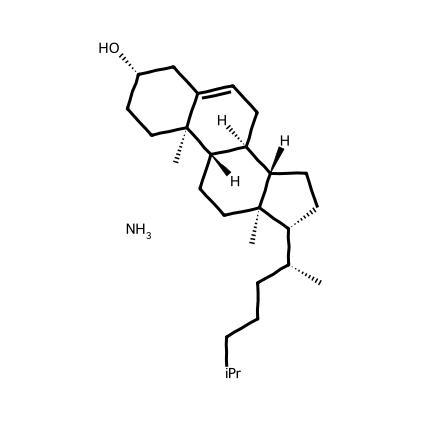 CC(C)CCC[C@@H](C)[C@H]1CC[C@H]2[C@@H]3CC=C4C[C@@H](O)CC[C@]4(C)[C@H]3CC[C@]12C.N